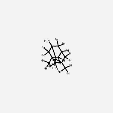 [2H]C([2H])([2H])C12C([2H])([2H])C3([2H])C([2H])([2H])C(N)(C1([2H])[2H])C([2H])([2H])C(C([2H])([2H])[2H])(C3([2H])[2H])C2([2H])[2H]